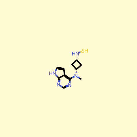 CN(c1ncnc2[nH]ccc12)[C@H]1C[C@@H](NS)C1